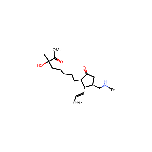 CCCCCCC=C[C@H]1[C@H](CNCC)CC(=O)[C@@H]1CCCCCC(C)(O)C(=O)OC